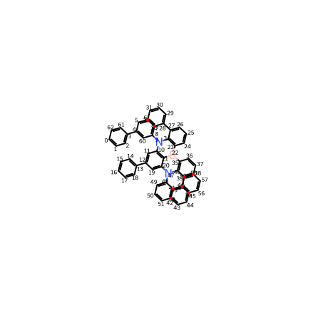 c1ccc(-c2cccc(N3c4cc(-c5ccccc5)cc5c4B(c4cccc(-c6ccccc6)c43)c3cccc(-c4ccccc4)c3N5c3ccccc3-c3ccccc3)c2)cc1